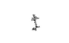 CC(C)(C)C(NC(=O)C1CC1(F)F)c1nc(-c2ccc(-c3ccc(-c4c[nH]c(CNC(=O)C5CC5(F)F)n4)cc3)cc2)c[nH]1